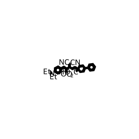 CCN(CC)c1ccc2cc(C(C=CC3(C(=O)O)C=CC(c4ccccc4)=CC3)=C(C#N)C#N)c(=O)oc2c1